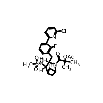 CC(=O)OC(C)(C)C(=O)N1C2CC(C2)[C@H](NS(C)(=O)=O)[C@@H]1Cc1cccc(-c2cccc(Cl)n2)c1F